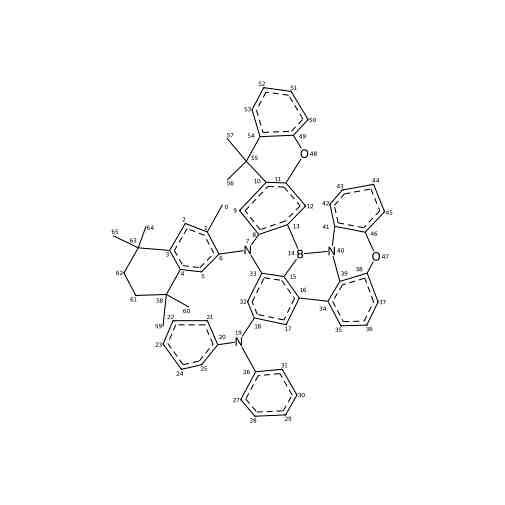 Cc1cc2c(cc1N1c3cc4c(cc3B3c5c(cc(N(c6ccccc6)c6ccccc6)cc51)-c1cccc5c1N3c1ccccc1O5)Oc1ccccc1C4(C)C)C(C)(C)CCC2(C)C